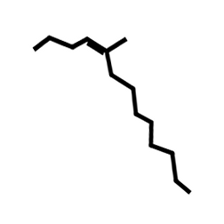 CCCC=C(C)CCCCCCCC